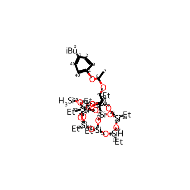 CCC(C)c1ccc(OC(C)OCCC[Si]23O[Si]4(CC)O[SiH](CC)O[Si](CC)(O[Si]5(CC)O[Si](CC)(O[SiH3])O[Si](CC)(O4)O[Si](CC)(O5)O2)O3)cc1